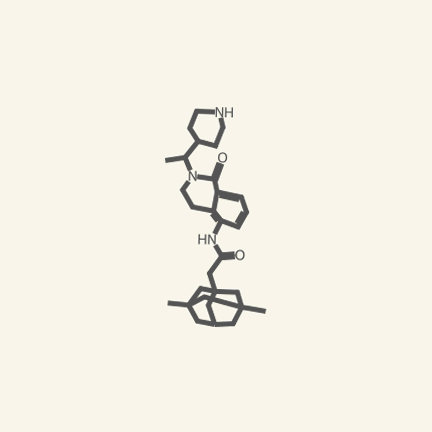 CC(C1CCNCC1)N1CCc2c(NC(=O)CC34CC5CC(C)(CC(C)(C5)C3)C4)cccc2C1=O